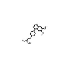 COc1cc2nccc(N3CCC(CCP(O)O)CC3)c2cc1OC